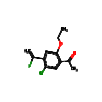 C=C(F)c1cc(OCC)c(C(C)=O)cc1Cl